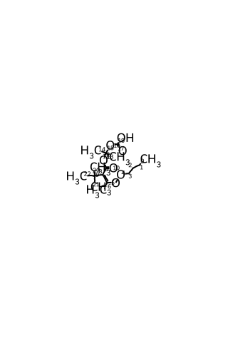 CCCCOOC(C)=C(C(=O)OC(C)(C)OC(=O)O)C(C)(C)C